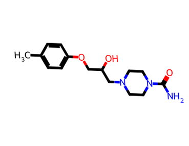 Cc1ccc(OCC(O)CN2CCN(C(N)=O)CC2)cc1